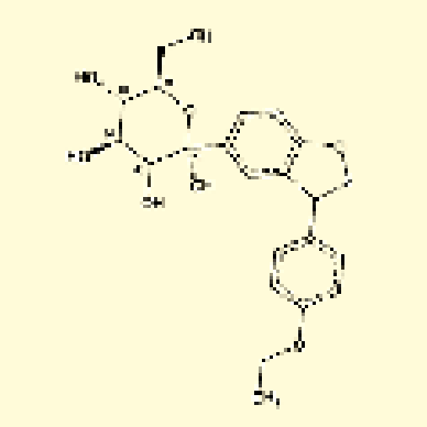 CCOc1ccc(C2COc3ccc([C@]4(O)O[C@H](CO)[C@@H](O)[C@H](O)[C@H]4O)cc32)cc1